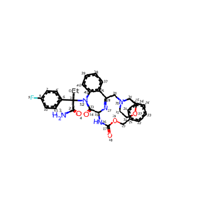 CCC(C(N)=O)(c1ccc(F)cc1)N1C(=O)C(NC(=O)OCc2ccccc2)N=C(CN2CCOCC2)c2ccccc21